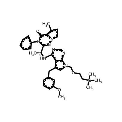 COc1cccc(Cc2cn(COCC[Si](C)(C)C)c3ncnc(N[C@@H](C)c4nn5ccc(C)c5c(=O)n4-c4ccccc4)c23)c1